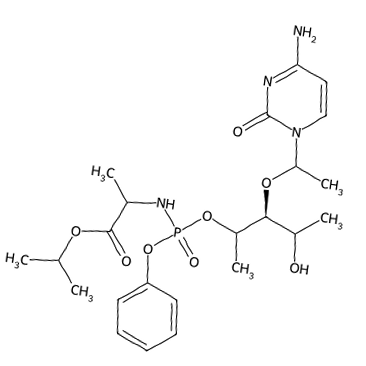 CC(C)OC(=O)C(C)NP(=O)(Oc1ccccc1)OC(C)[C@@H](OC(C)n1ccc(N)nc1=O)C(C)O